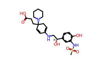 CS(=O)(=O)Nc1cc([C@@H](O)CNC2=CCC(CCC(=O)O)(N3CCCCC3)C=C2)ccc1O